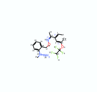 C/C=C(\C=C(/CC)OC(F)(F)C(F)F)C(/C)=N\OCc1ccccc1N(C)N